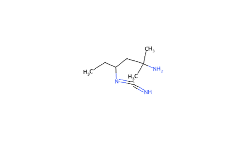 CCC(CC(C)(C)N)N=C=N